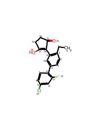 CCc1ccc(-c2ccc(Cl)cc2F)cc1C1=C(O)CCC1=O